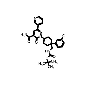 CC(C)(C)OC(=O)NCC1(c2cccc(Cl)c2)CCC(n2nc(-c3cccnc3)cc(C(N)=O)c2=O)CC1